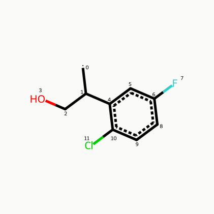 [CH2]C(CO)c1cc(F)ccc1Cl